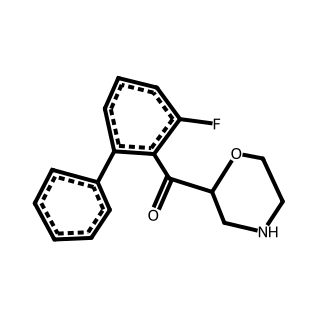 O=C(c1c(F)cccc1-c1ccccc1)C1CNCCO1